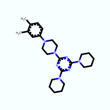 Cc1ccc(N2CCN(c3nc(N4CCCCC4)nc(N4CCCCC4)n3)CC2)cc1C